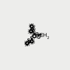 C=CC(=O)OC1CCC(Sc2cccc3c2sc2ccccc23)CC1Sc1cccc2c1sc1ccccc12